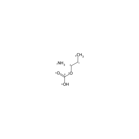 CCCOC(=O)O.N